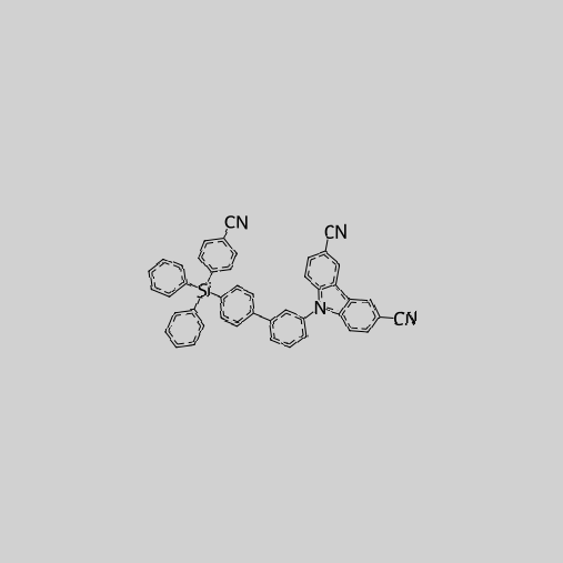 N#Cc1ccc([Si](c2ccccc2)(c2ccccc2)c2ccc(-c3cccc(-n4c5ccc(C#N)cc5c5cc(C#N)ccc54)c3)cc2)cc1